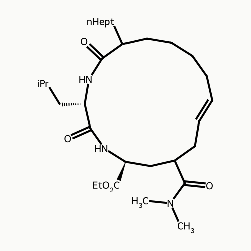 CCCCCCCC1CCCC/C=C/CC(C(=O)N(C)C)C[C@@H](C(=O)OCC)NC(=O)[C@H](CC(C)C)NC1=O